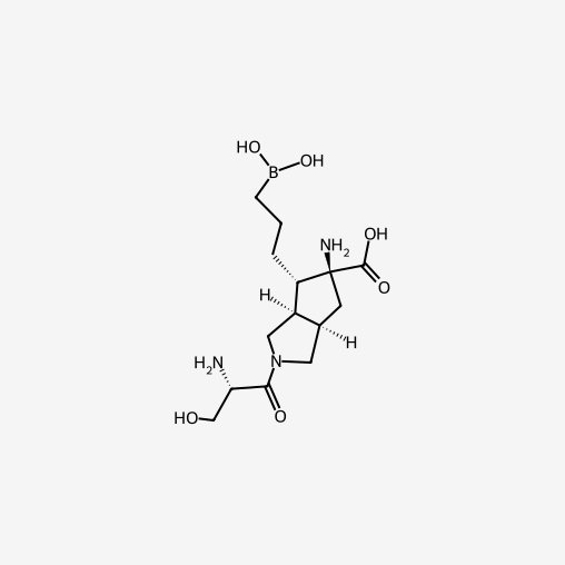 N[C@@H](CO)C(=O)N1C[C@@H]2C[C@@](N)(C(=O)O)[C@@H](CCCB(O)O)[C@@H]2C1